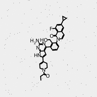 CCC(=O)N1CC=C(c2cc3c(-c4cccc(-n5ccc6cc(C7CC7)cc(F)c6c5=O)c4CO)nc(N)nc3[nH]2)CC1